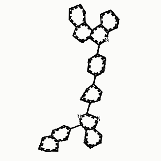 c1ccc2cc(-c3nc(-c4ccc(-c5ccc(-c6nc7ccccc7c7c6ccc6ccccc67)cc5)cc4)nc4ccccc34)ccc2c1